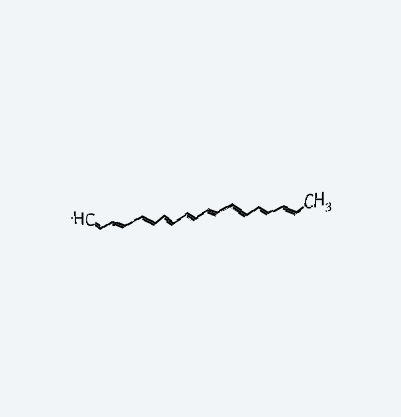 [CH]=C/C=C/C=C/C=C/C=C/C=C/C=C/C=C/C=C/C